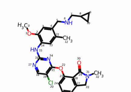 COc1cc(CNCC2CC2)c(C)cc1Nc1ncc(Cl)c(Oc2cccc3c2C(=O)N(C)C3)n1